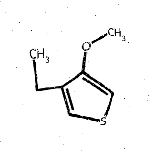 CCc1cscc1OC